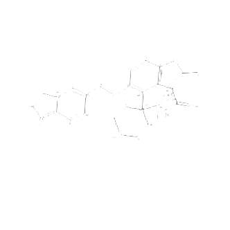 Cc1oc2ccc(OCc3ccc4nccn4c3)c(C3(CO)CCOCC3)c2c1C(N)=O